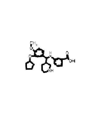 COc1ccc(C(Nc2cccc(C(=O)O)c2)C2CCCNC2)cc1OC1CCCC1